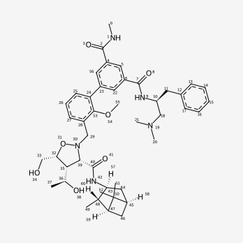 CNC(=O)c1cc(C(=O)N[C@@H](Cc2ccccc2)CN(C)C)cc(-c2cccc(CN3O[C@@H](CO)[C@@H]([C@H](C)O)[C@H]3C(=O)N[C@H]3C[C@H]4C[C@@H]([C@@H]3C)C4(C)C)c2OC)c1